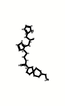 CC(C)CN1CCC2(CC1)CCN(C(=O)CCCn1ccnc1CN(C)Cc1ncc[nH]1)C2